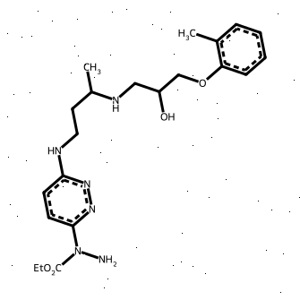 CCOC(=O)N(N)c1ccc(NCCC(C)NCC(O)COc2ccccc2C)nn1